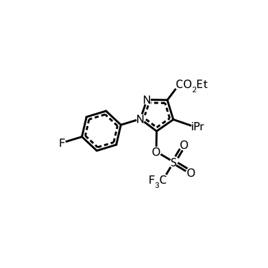 CCOC(=O)c1nn(-c2ccc(F)cc2)c(OS(=O)(=O)C(F)(F)F)c1C(C)C